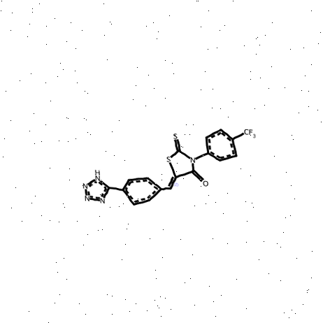 O=C1/C(=C/c2ccc(-c3nnn[nH]3)cc2)SC(=S)N1c1ccc(C(F)(F)F)cc1